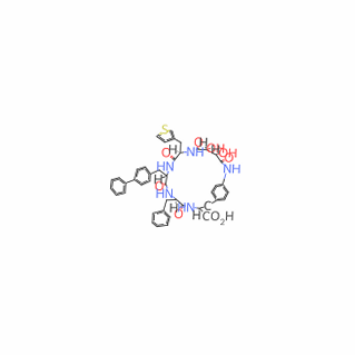 O=C(O)[C@@H]1Cc2ccc(cc2)NC(=O)[C@H](O)[C@@H](O)C(=O)N[C@H](Cc2ccsc2)C(=O)N[C@@H](Cc2ccc(-c3ccccc3)cc2)C(=O)N[C@H](Cc2ccccc2)C(=O)N1